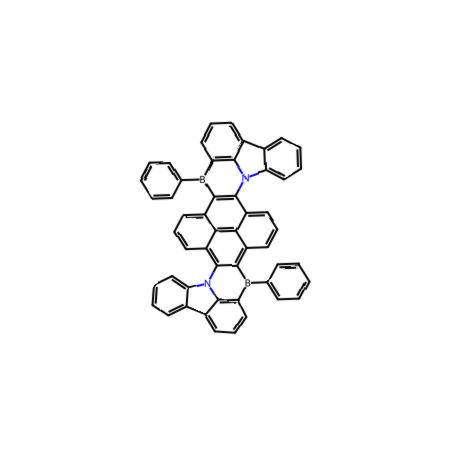 c1ccc(B2c3c(c4cccc5c6c(c7cccc3c7c54)-n3c4ccccc4c4cccc(c43)B6c3ccccc3)-n3c4ccccc4c4cccc2c43)cc1